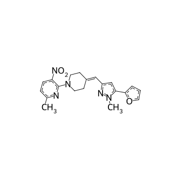 Cc1ccc([N+](=O)[O-])c(N2CCC(=Cc3cc(-c4ccco4)n(C)n3)CC2)n1